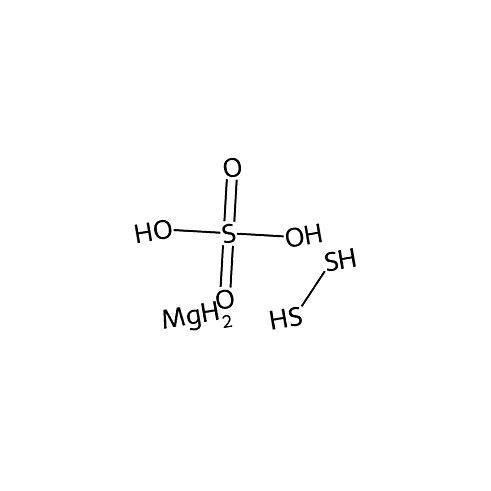 O=S(=O)(O)O.SS.[MgH2]